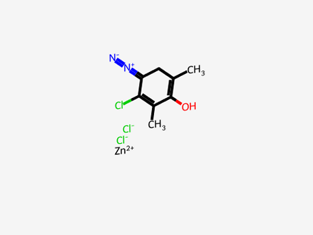 CC1=C(O)C(C)=C(Cl)C(=[N+]=[N-])C1.[Cl-].[Cl-].[Zn+2]